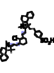 CN1/C(=C/C=C2/CCCC(/C=C/C3=[N+](C)c4ccc5ccccc5c4C3(C)CCc3ccc(S(=O)(=O)O)cc3)=C2Cl)C(C)(C)c2c1ccc1ccccc21